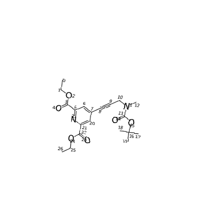 CCOC(=O)c1cc(C#CCN(C)C(=O)OC(C)(C)C)cc(C(=O)OCC)n1